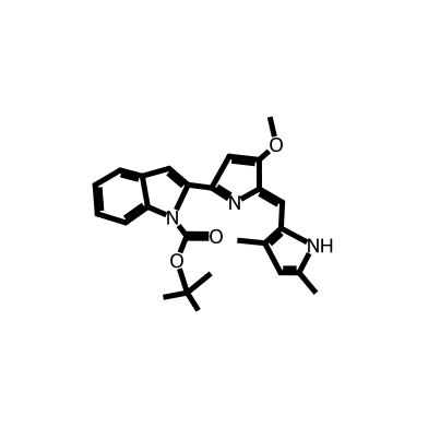 COC1=CC(c2cc3ccccc3n2C(=O)OC(C)(C)C)=N/C1=C\c1[nH]c(C)cc1C